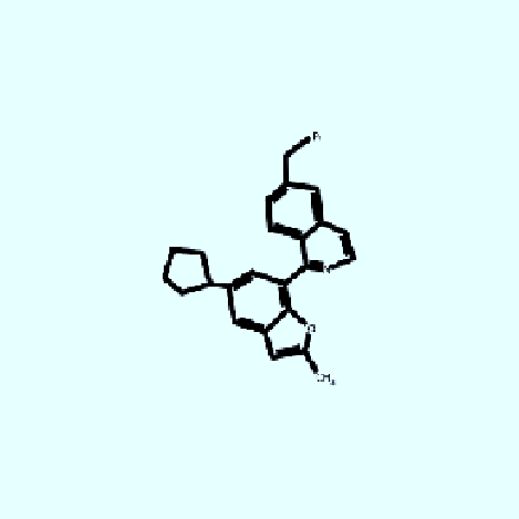 Cc1cc2cc(C3CCCC3)cc(-c3nccc4cc(CC(C)C)ccc34)c2o1